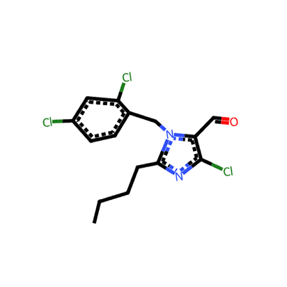 CCCCc1nc(Cl)c(C=O)n1Cc1ccc(Cl)cc1Cl